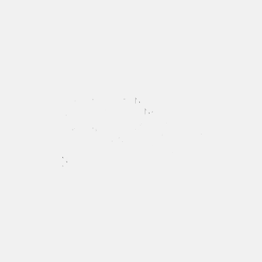 CC(c1ccccc1)n1ncc(-c2cccc(C#N)c2)c(Cl)c1=O